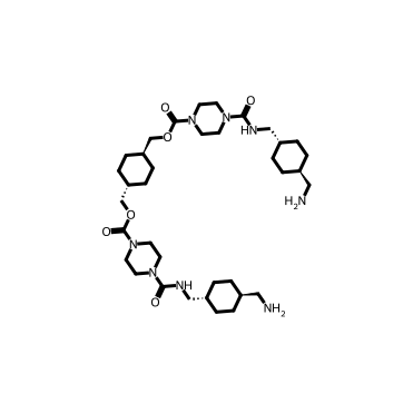 NC[C@H]1CC[C@H](CNC(=O)N2CCN(C(=O)OC[C@H]3CC[C@H](COC(=O)N4CCN(C(=O)NC[C@H]5CC[C@H](CN)CC5)CC4)CC3)CC2)CC1